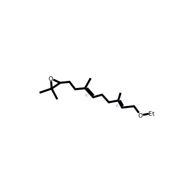 CCOC/C=C(\C)CC/C=C(\C)CCC1OC1(C)C